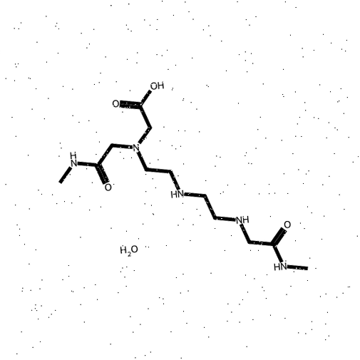 CNC(=O)CNCCNCCN(CC(=O)O)CC(=O)NC.O